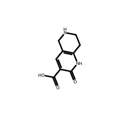 O=C(O)c1cc2c([nH]c1=O)CCNC2